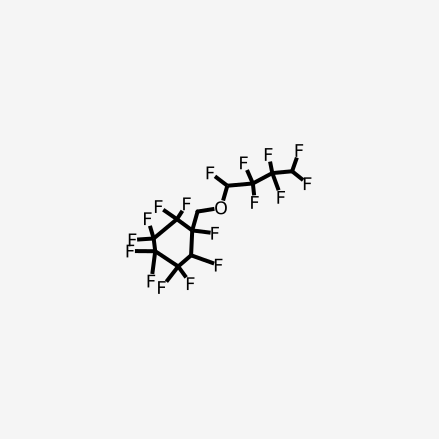 FC(F)C(F)(F)C(F)(F)C(F)OCC1(F)C(F)C(F)(F)C(F)(F)C(F)(F)C1(F)F